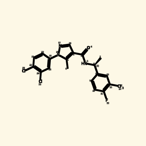 Cc1c(C(=O)N[C@@H](C)c2ccc(F)c(C(F)(F)F)c2)cnn1-c1ccc(Cl)c(Cl)c1